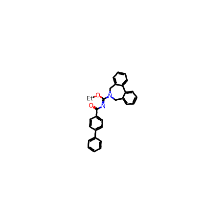 CCO/C(=N\C(=O)c1ccc(-c2ccccc2)cc1)N1Cc2ccccc2-c2ccccc2C1